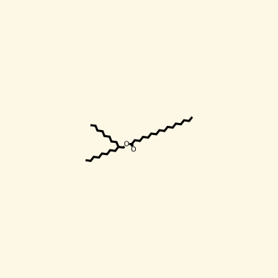 CCCCCCCCCCCCCCCC(=O)OCC(CCCCCCCC)CCCCCCCC